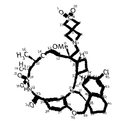 CO[C@]1(CN2CC3(C2)CS(=O)(=O)C3)/C=C/C[C@H](C)[C@@H](C)S(=O)(=O)NC(=O)c2ccc3c(c2)N(C[C@@H]2CC[C@H]21)C[C@@]1(CCCc2cc(Cl)ccc21)CO3